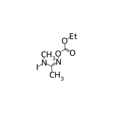 CCOC(=O)O/N=C(/C)N(C)I